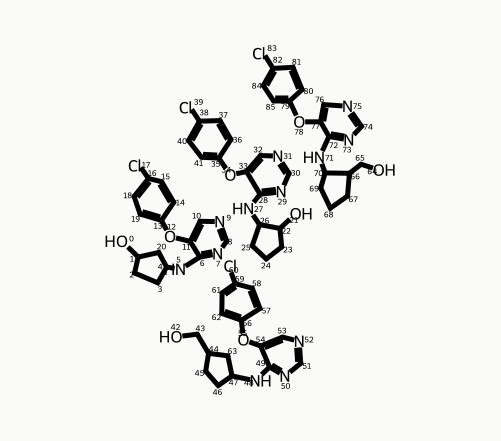 OC1CCC(Nc2ncncc2Oc2ccc(Cl)cc2)C1.OC1CCCC1Nc1ncncc1Oc1ccc(Cl)cc1.OCC1CCC(Nc2ncncc2Oc2ccc(Cl)cc2)C1.OCC1CCCC1Nc1ncncc1Oc1ccc(Cl)cc1